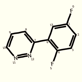 Fc1ccc(F)c(-c2cc[c]nn2)c1